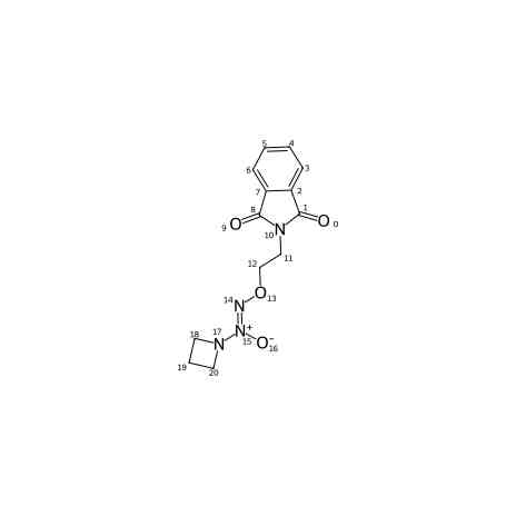 O=C1c2ccccc2C(=O)N1CCO/N=[N+](\[O-])N1CCC1